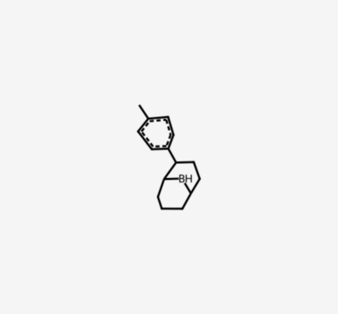 Cc1ccc(C2CCC3BC2CCC3)cc1